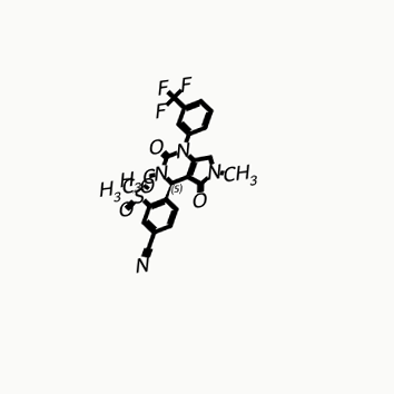 CN1CC2=C(C1=O)[C@@H](c1ccc(C#N)cc1S(C)(=O)=O)N(C)C(=O)N2c1cccc(C(F)(F)F)c1